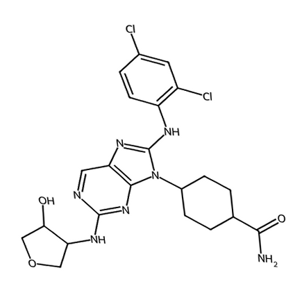 NC(=O)C1CCC(n2c(Nc3ccc(Cl)cc3Cl)nc3cnc(NC4COCC4O)nc32)CC1